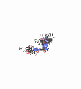 CC1=C(C)C(=O)C(CCCOC(=O)NCCC[C@H](NC(=O)[C@@H]2CCCN2C(=O)[C@H](/C=C/[C@H](CC(C)C)NC(=O)OC(C)(C)C)Cc2ccccc2)C(=O)NC2CC2)=C(C)C1=O